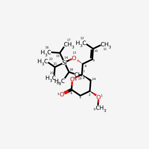 CO[C@H]1CC(=O)O[C@@H]([C@@H](C=C(C)C)O[Si](C(C)C)(C(C)C)C(C)C)C1